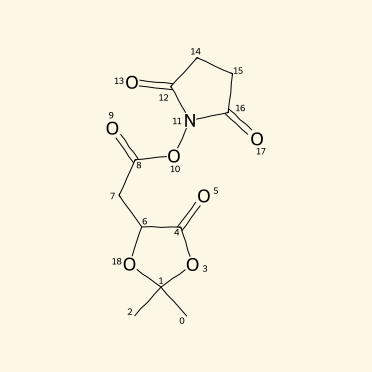 CC1(C)OC(=O)C(CC(=O)ON2C(=O)CCC2=O)O1